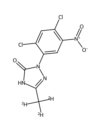 [2H]C([2H])([2H])c1nn(-c2cc([N+](=O)[O-])c(Cl)cc2Cl)c(=O)[nH]1